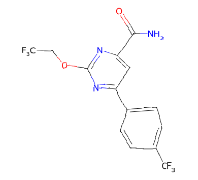 NC(=O)c1cc(-c2ccc(C(F)(F)F)cc2)nc(OCC(F)(F)F)n1